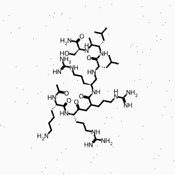 CC(=O)N[C@@H](CCCCN)C(=O)N[C@@H](CCCNC(=N)N)C(=O)CC(CCCNC(=N)N)C(=O)N[C@@H](CCCNC(=N)N)CN[C@@H](CC(C)C)C(=O)N[C@@H](CC(C)C)C(C)N[C@@H](CO)C(N)=O